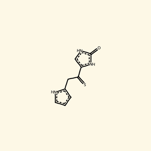 O=c1[nH]cc(C(=S)Cc2ccc[nH]2)[nH]1